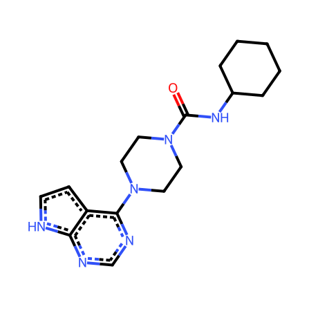 O=C(NC1CCCCC1)N1CCN(c2ncnc3[nH]ccc23)CC1